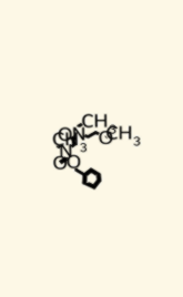 CCN(CCOC)C(=O)CN(CC)C(=O)OCc1ccccc1